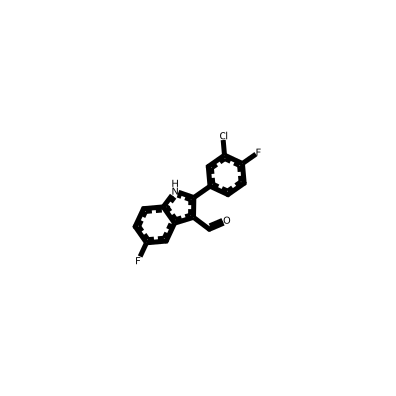 O=Cc1c(-c2ccc(F)c(Cl)c2)[nH]c2ccc(F)cc12